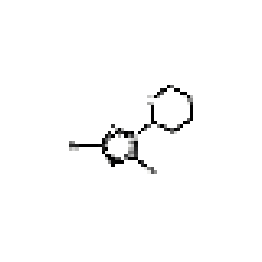 Brc1cc(Br)n(C2CCCCO2)n1